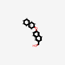 OCc1ccc2cc(OC3CCC4(CCCCC4)CC3)ccc2c1